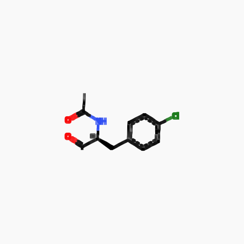 CC(=O)N[C@H]([C]=O)Cc1ccc(Cl)cc1